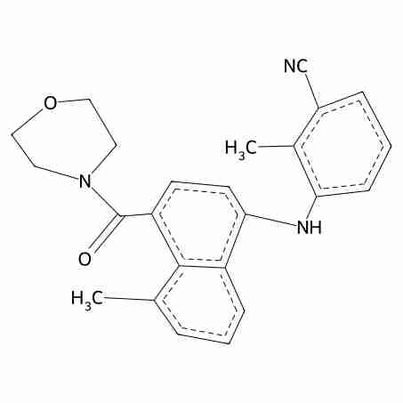 Cc1c(C#N)cccc1Nc1ccc(C(=O)N2CCOCC2)c2c(C)cccc12